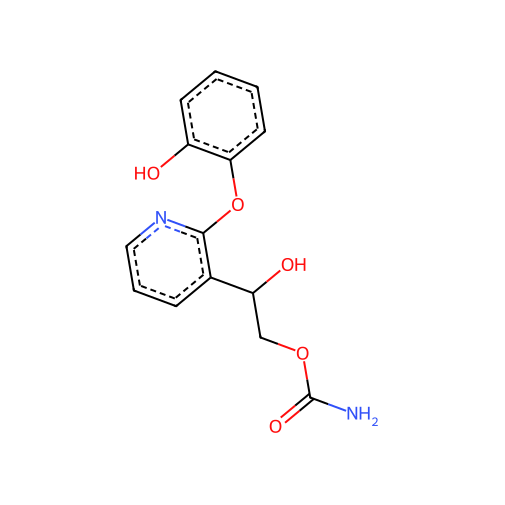 NC(=O)OCC(O)c1cccnc1Oc1ccccc1O